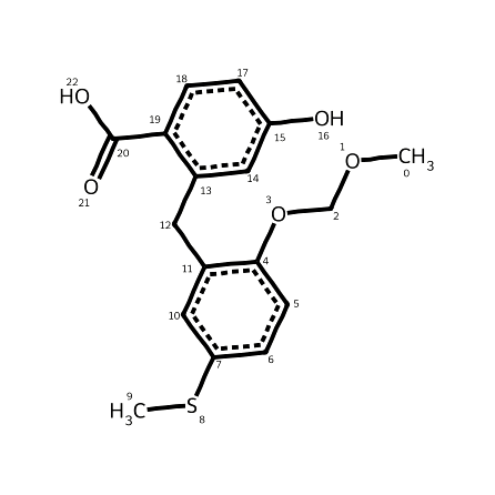 COCOc1ccc(SC)cc1Cc1cc(O)ccc1C(=O)O